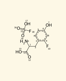 NC(Cc1ccc(O)cc1F)C(=O)O.O=S(=O)(O)F